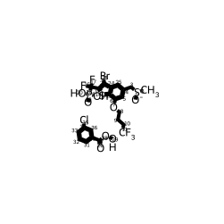 C[S+]([O-])Cc1cc(OCCCC(F)(F)F)c2sc(C(F)(F)P(=O)(O)O)c(Br)c2c1.O=C(OO)c1cccc(Cl)c1